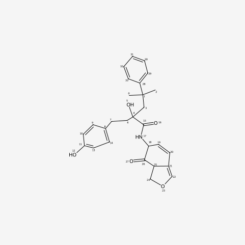 CC(C)(CC(O)(CCc1ccc(O)cc1)C(=O)NC1C=CC2=COCC2C1=O)c1ccccc1